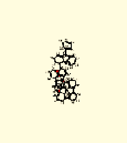 c1ccc(-c2ccccc2N(c2ccc(-c3cccc4c3c3ccccc3n4-c3ccccc3)cc2)c2cccc3c2C2(c4ccccc4-c4ccccc42)c2ccccc2-3)cc1